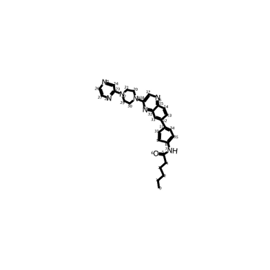 CCCCCC(=O)Nc1ccc(-c2ccc3ncc(N4CCN(c5cnccn5)CC4)nc3c2)cc1